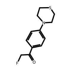 O=C(CF)c1ccc(N2CCSCC2)cc1